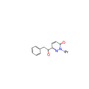 CC(C)n1nc(C(=O)Cc2ccccc2)ccc1=O